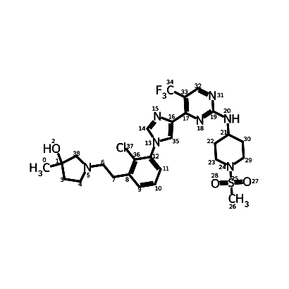 CC1(O)CCN(CCc2cccc(-n3cnc(-c4nc(NC5CCN(S(C)(=O)=O)CC5)ncc4C(F)(F)F)c3)c2Cl)C1